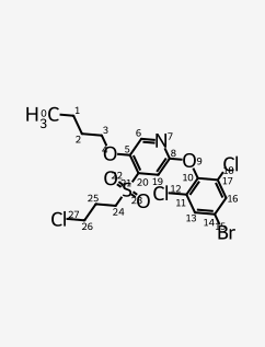 CCCCOc1cnc(Oc2c(Cl)cc(Br)cc2Cl)cc1S(=O)(=O)CCCCl